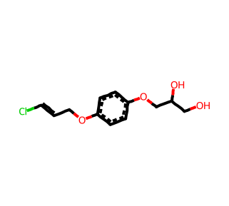 OCC(O)COc1ccc(OCC=CCl)cc1